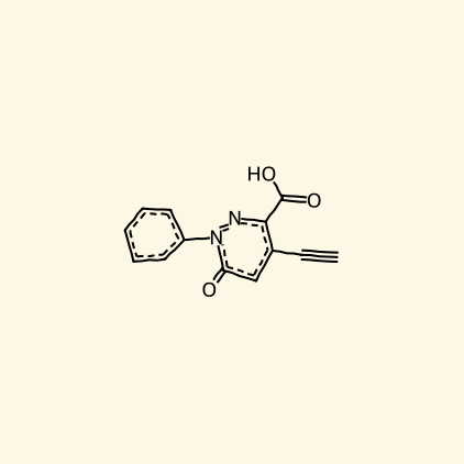 C#Cc1cc(=O)n(-c2ccccc2)nc1C(=O)O